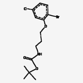 CC(C)(C)OC(=O)NCCCOc1cc(Cl)ccc1Br